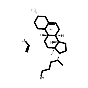 C=CCC.CC(C)CCCC(C)[C@H]1CC[C@H]2[C@@H]3CC=C4C[C@@H](O)CC[C@]4(C)[C@H]3CC[C@]12C